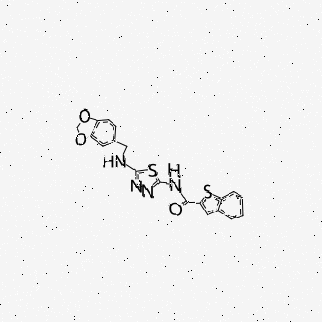 O=C(Nc1nnc(NCc2ccc3c(c2)OCO3)s1)c1cc2ccccc2s1